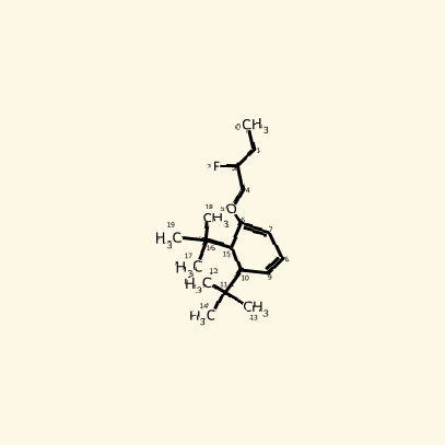 CCC(F)COC1=CC=CC(C(C)(C)C)C1C(C)(C)C